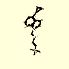 C[Si](C)(C)CCOCn1ccc2c(C3CC3)ccnc21